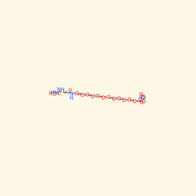 N[C@H]1[C@@H](NO)CS[C@H]1CCCCC(=O)NCCOCCOCCOCCOCCOCCOCCOCCOCCOCCOCCOCCOCCC(=O)ON1C(=O)CCC1=O